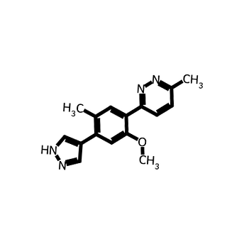 COc1cc(-c2cn[nH]c2)c(C)cc1-c1ccc(C)nn1